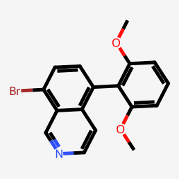 COc1cccc(OC)c1-c1ccc(Br)c2cnccc12